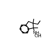 CCC1(C)Cc2ccccc2C1(C)N.Cl